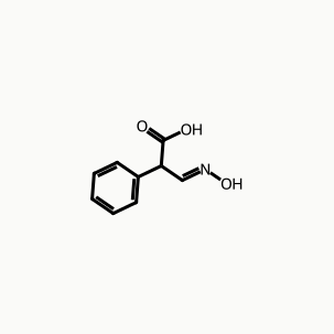 O=C(O)C(C=NO)c1ccccc1